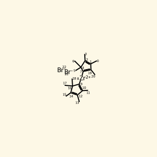 CC1=C(C)C(C)(C)[C]([Zr+2][C]2=C(C)C(C)=C(C)C2(C)C)=C1C.[Br-].[Br-]